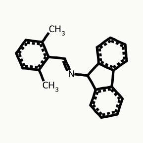 Cc1cccc(C)c1/C=N/C1c2ccccc2-c2ccccc21